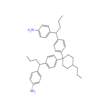 CCCC1CCC(c2ccc(C(CCC)c3ccc(N)cc3)cc2)(c2ccc(C(CCC)c3ccc(N)cc3)cc2)CC1